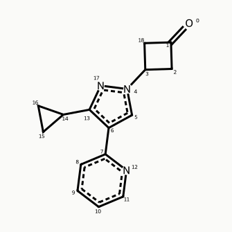 O=C1CC(n2cc(-c3ccccn3)c(C3CC3)n2)C1